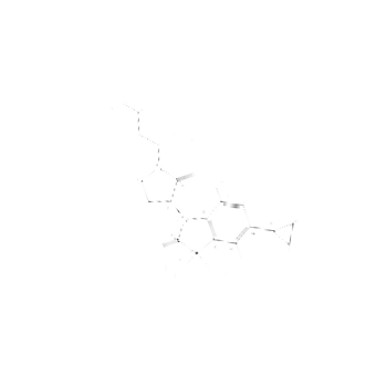 C[C@@H](CCC(=O)O)N1CC[C@H](N2C(=O)C(C)(C)c3c(F)c(C4CC4)cc(F)c32)C1=O